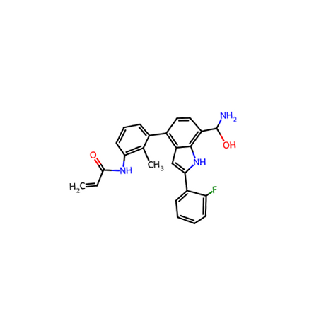 C=CC(=O)Nc1cccc(-c2ccc(C(N)O)c3[nH]c(-c4ccccc4F)cc23)c1C